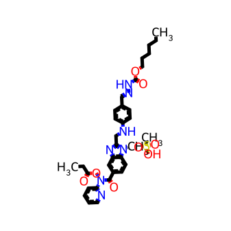 CCCCCCOC(=O)NN=Cc1ccc(NCc2nc3cc(C(=O)N(OC(=O)CC)c4ccccn4)ccc3n2C)cc1.CS(=O)(=O)O